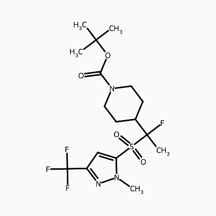 Cn1nc(C(F)(F)F)cc1S(=O)(=O)C(C)(F)C1CCN(C(=O)OC(C)(C)C)CC1